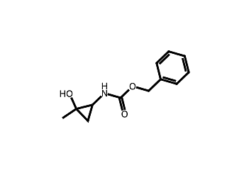 CC1(O)CC1NC(=O)OCc1ccccc1